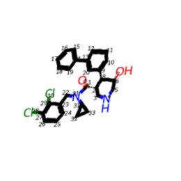 O=C([C@H]1CNC[C@H](O)[C@@H]1c1cccc(-c2ccccc2)c1)N(Cc1cccc(Cl)c1Cl)C1CC1